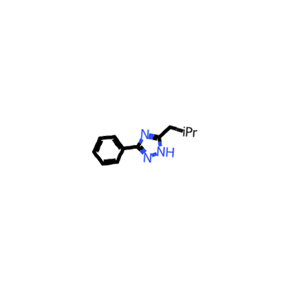 CC(C)Cc1nc(-c2ccccc2)n[nH]1